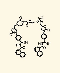 CCOC(=O)CN1CCN(CC2CN(c3ccc(C(=N)NC(=O)c4cccc5ccccc45)cc3)C(=O)O2)CC1=O.CS(=O)(=O)OCC1CN(c2ccc(C(=N)NC(=O)c3cccc4ccccc34)cc2)C(=O)O1